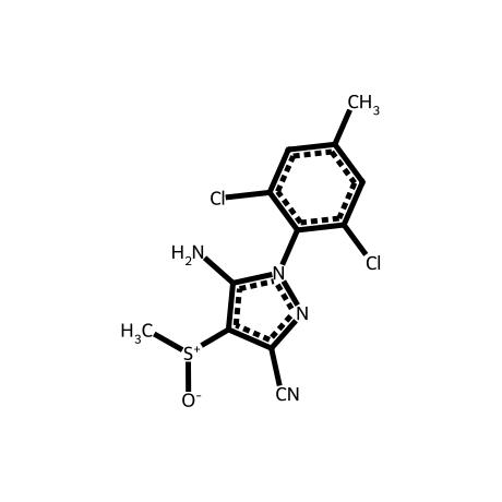 Cc1cc(Cl)c(-n2nc(C#N)c([S+](C)[O-])c2N)c(Cl)c1